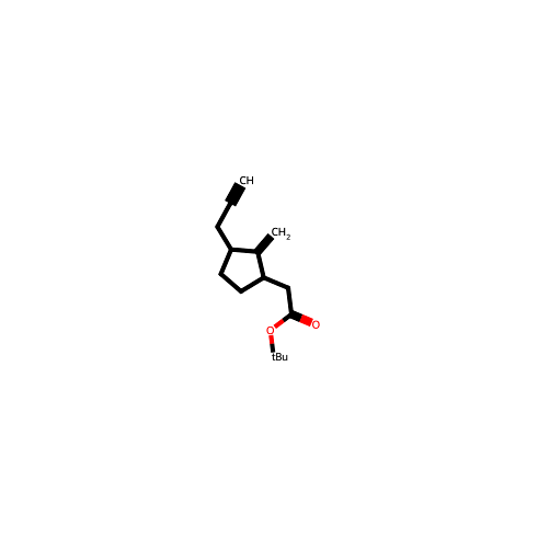 C#CCC1CCC(CC(=O)OC(C)(C)C)C1=C